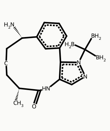 BC(B)(B)n1ncc2c1-c1cccc(c1)[C@@H](N)CCC[C@@H](C)C(=O)N2